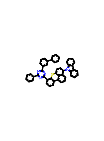 c1ccc(-c2cccc(-c3nc(-c4ccccc4)nc(-c4cccc5c4Sc4ccc(-n6c7ccccc7c7ccccc76)c6cccc-5c46)n3)c2)cc1